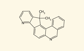 CC1(C)c2cccnc2-c2ccc3ncc4ccccc4c3c21